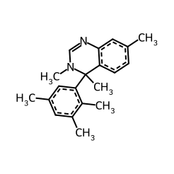 Cc1ccc2c(c1)N=CN(C)C2(C)c1cc(C)cc(C)c1C